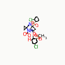 CS(=O)(=O)c1cc(Cl)ccc1CO[C@@H]1CC[C@@H](S(=O)(=O)c2ccccc2Cl)C1.N#CC1(NC(=O)O)CC1